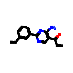 CNC(=O)c1cnc(-c2cccc(OCC(C)C)c2)nc1N